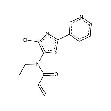 C=CC(=O)N(CC)c1sc(-c2cccnc2)nc1Cl